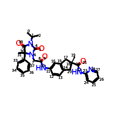 CC(C)N1C(=O)N(CC(=O)Nc2ccc3c(c2)C[C@](C)(C(=O)Nc2ccccn2)C3)C(C)(c2ccccc2)C1=O